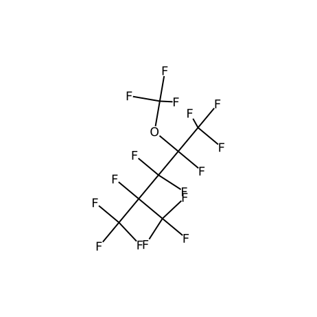 FC(F)(F)OC(F)(C(F)(F)F)C(F)(F)C(F)(C(F)(F)F)C(F)(F)F